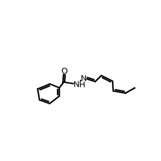 C\C=C/C=C\C=N\NC(=O)c1ccccc1